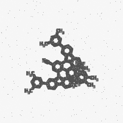 Cc1cc(C)cc(-c2ccc3c4ccc(-c5cc(C)cc(C)c5)cc4n(-c4cc(C#N)cc(-n5c6cc(-c7cc(C)cc(C)c7)ccc6c6ccc(-c7cc(C)cc(C)c7)cc65)c4-c4cc(C)cc(C(F)(F)F)c4)c3c2)c1